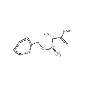 CNC(=O)[C@@H](N)[C@@H](C)OCc1ccccc1